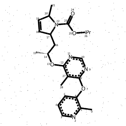 Cc1ncccc1Oc1ncnc(O[C@H](C)CC2C=CC(C)N2C(=O)OC(C)C)c1C